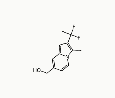 Cc1c(C(F)(F)F)cc2cc(CO)ccn12